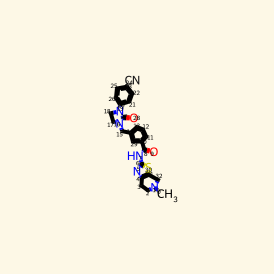 CN1CCc2nc(NC(=O)c3cccc(CN4CCN(c5ccc(C#N)cc5)C4=O)c3)sc2C1